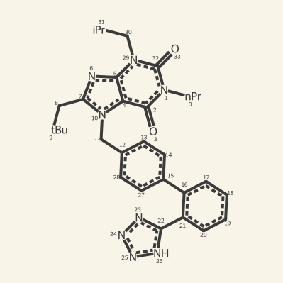 CCCn1c(=O)c2c(nc(CC(C)(C)C)n2Cc2ccc(-c3ccccc3-c3nnn[nH]3)cc2)n(CC(C)C)c1=O